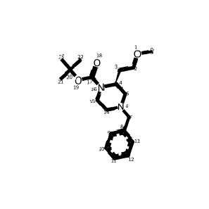 COCC[C@H]1CN(Cc2ccccc2)CCN1C(=O)OC(C)(C)C